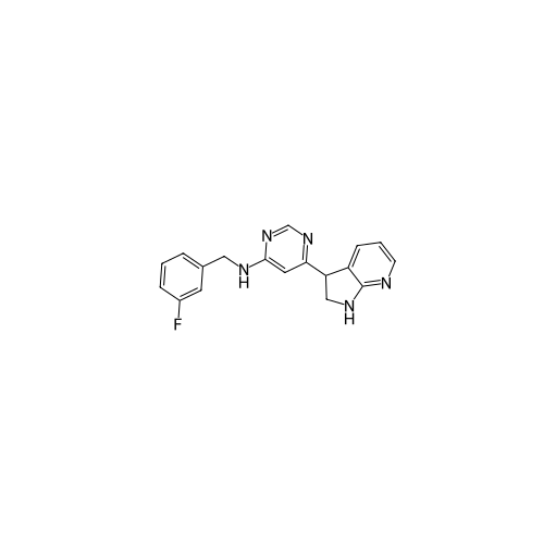 Fc1cccc(CNc2cc(C3CNc4ncccc43)ncn2)c1